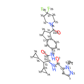 CC(C)n1nccc1C(=O)N[C@H](C(=O)Nc1ccc2c(c1)CCC2C(=O)N1CCC(F)(F)CC1)C(C1CC1)C1CC1